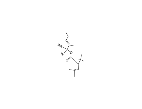 [2H]C(C#C)(OC(=O)C1C(C=C(C)C)C1(C)C)C(C)=CCC